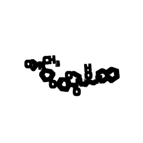 CN(C1CCC(Oc2ccc3c(c2)OCCN(C[C@H](O)CN2CCc4ccccc4C2)C3=O)CC1)C1COC1